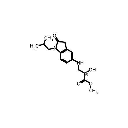 COC(=O)[C@H](O)CNc1ccc2c(c1)CC(=O)N2CC(C)C